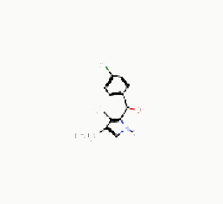 CCOC(=O)c1cn(C)c(C(O)c2ccc(Cl)cc2)c1C(=O)OCC